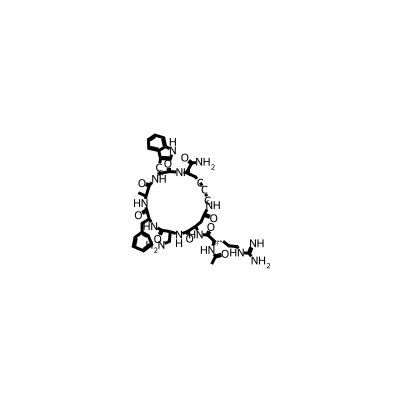 CC(=O)N[C@@H](CCCNC(=N)N)C(=O)NC1CC(=O)NCCCCC(C(N)=O)NC(=O)[C@H](Cc2c[nH]c3ccccc23)NC(=O)C(C)NC(=O)C(Cc2ccccc2)NC(=O)C(CN)NC1=O